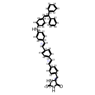 O=C1NC(=S)N/C1=C\c1ccc(/C=C/c2ccc(/C=C/c3ccc(Nc4ccc(C=C(c5ccccc5)c5ccccc5)cc4)cc3)cc2)cc1